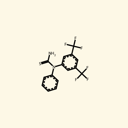 NC(=S)N(c1ccccc1)c1cc(C(F)(F)F)cc(C(F)(F)F)c1